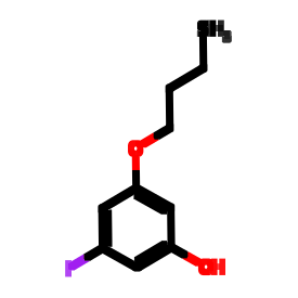 Oc1cc(I)cc(OCCC[SiH3])c1